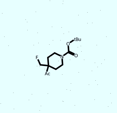 CC(=O)C1(CF)CCN(C(=O)OC(C)(C)C)CC1